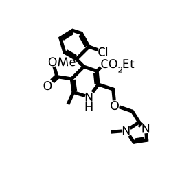 CCOC(=O)C1=C(COCc2nccn2C)NC(C)=C(C(=O)OC)C1c1ccccc1Cl